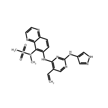 C=Cc1cnc(Nc2cn[nH]c2)nc1Nc1ccc2nccnc2c1N(C)S(C)(=O)=O